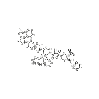 O=C(NS(=O)(=O)c1ccc(NC[C@H]2COCCO2)c([N+](=O)[O-])c1)c1ccc(N2CCC3(CCC(N4CCCC4c4ccccc4C4CC4)CC3)CC2)cc1N1CCCOc2nc3[nH]ccc3cc21